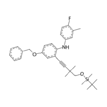 Cc1cc(Nc2ccc(OCc3ccccc3)cc2C#CC(C)(C)CO[Si](C)(C)C(C)(C)C)ccc1F